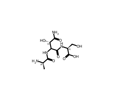 C[C@@H](N)C(=O)NC(C(=O)N[C@@H](CO)C(=O)O)[C@H](O)C(N)=O